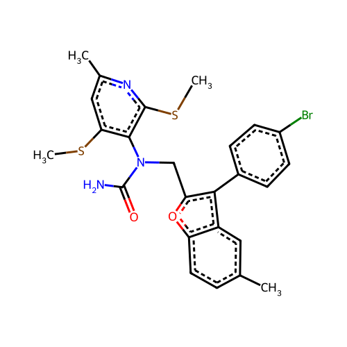 CSc1cc(C)nc(SC)c1N(Cc1oc2ccc(C)cc2c1-c1ccc(Br)cc1)C(N)=O